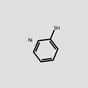 Sc1ccccc1.[Ni]